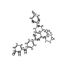 C[C@H]1COCCN1c1nc(-c2ccc(Nc3cccc(=O)[nH]3)cc2)nc2c1CCN(c1ncc(F)cn1)C2